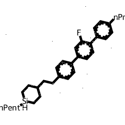 CCCCC[SiH]1CCC(CCc2ccc(-c3ccc(-c4ccc(CCC)cc4)c(F)c3)cc2)CC1